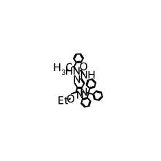 CCOCc1nn(C(c2ccccc2)(c2ccccc2)c2ccccc2)c2cc(NC(=O)NC(C)c3ccccc3)ncc12